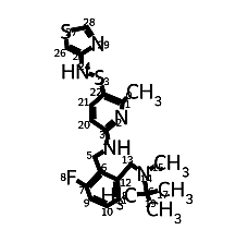 Cc1nc(NCc2c(F)cccc2CN(C)C(C)(C)C)ccc1SNc1cscn1